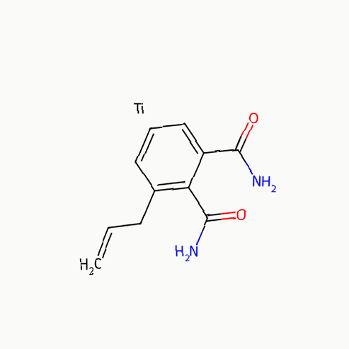 C=CCc1cccc(C(N)=O)c1C(N)=O.[Ti]